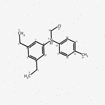 CCc1cc(CC)cc([SiH](CCl)c2ccc(C)cc2)c1